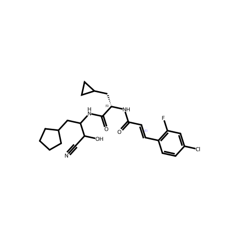 N#CC(O)C(CC1CCCC1)NC(=O)[C@H](CC1CC1)NC(=O)/C=C/c1ccc(Cl)cc1F